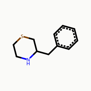 c1ccc(CC2CSCCN2)cc1